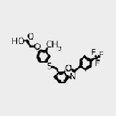 Cc1cc(SCc2cccc3nc(-c4ccc(C(F)(F)F)cc4)oc23)ccc1OCC(=O)O